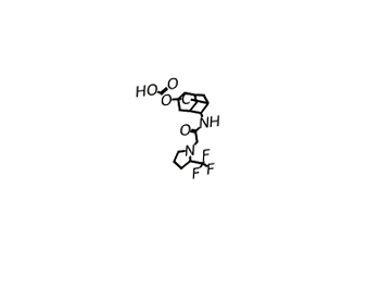 O=C(CN1CCCC1C(F)(F)F)NC1C2CC3CC1CC(OC(=O)O)(C3)C2